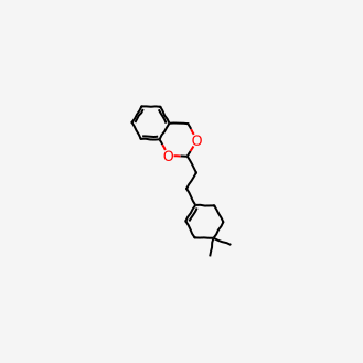 CC1(C)CC=C(CCC2OCc3ccccc3O2)CC1